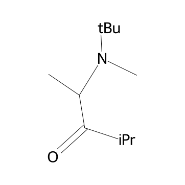 CC(C)C(=O)C(C)N(C)C(C)(C)C